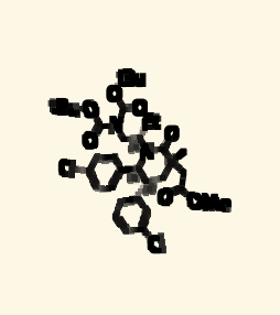 CC[C@@H](CN(C(=O)OC(C)(C)C)C(=O)OC(C)(C)C)N1C(=O)[C@](C)(CC(=O)OC)C[C@H](c2cccc(Cl)c2)[C@H]1c1ccc(Cl)cc1